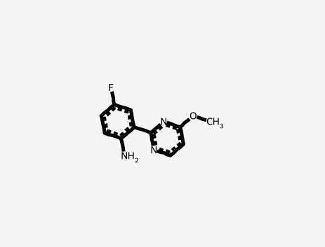 COc1ccnc(-c2cc(F)ccc2N)n1